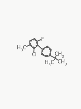 Cc1ccc(F)c(-c2ccc(C(C)(C)C)cc2)c1Cl